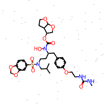 CNC(=O)NCCOc1ccc(CC(CCN(CC(C)C)S(=O)(=O)c2ccc3c(c2)OCO3)N(O)C(=O)OC2COC3OCCC23)cc1